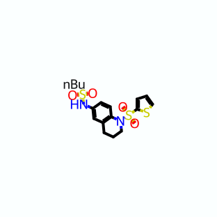 CCCCS(=O)(=O)Nc1ccc2c(c1)CCCN2S(=O)(=O)c1cccs1